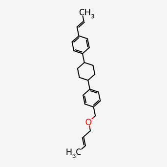 CC=CCOCc1ccc(C2CCC(c3ccc(C=CC)cc3)CC2)cc1